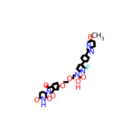 COc1ccc2nc(-c3ccc(-c4ccc(N(CCOCCOc5ccc6c(c5)C(=O)N(C5CCC(=O)NC5=O)C6=O)C(=O)O)nc4F)cc3)cn2c1